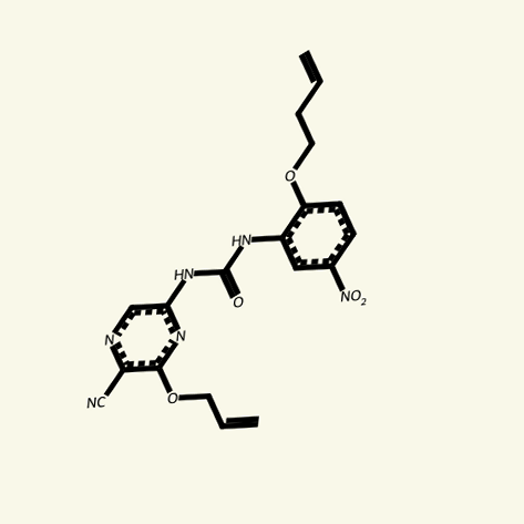 C=CCCOc1ccc([N+](=O)[O-])cc1NC(=O)Nc1cnc(C#N)c(OCC=C)n1